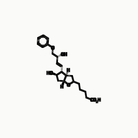 O=C(O)CCCCC1C[C@@H]2[C@@H](/C=C/[C@@H](O)COc3ccccc3)[C@H](O)C[C@H]2O1